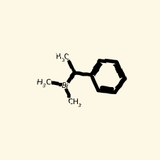 C[CH](c1ccccc1)[Bi]([CH3])[CH3]